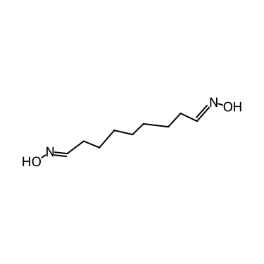 ON=CCCCCCCCC=NO